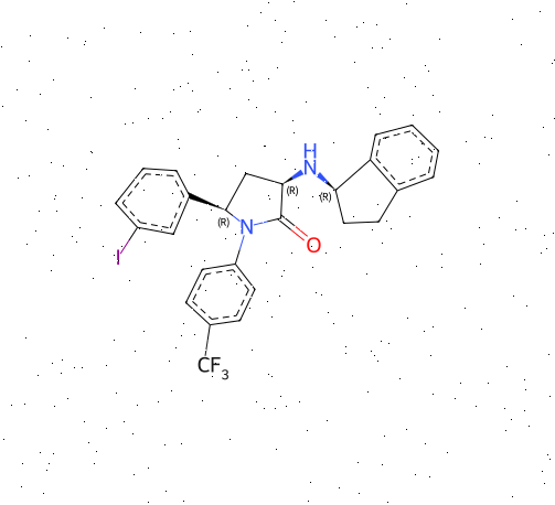 O=C1[C@H](N[C@@H]2CCc3ccccc32)C[C@H](c2cccc(I)c2)N1c1ccc(C(F)(F)F)cc1